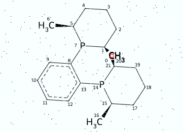 C[C@@H]1CCC[C@H](C)P1c1ccccc1P1[C@H](C)CCC[C@@H]1C